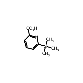 C[Si](C)(C)c1cccc(C(=O)O)n1